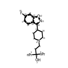 CCCC(O)(CCC)CCN1CCC(c2noc3cc(F)ccc23)CC1